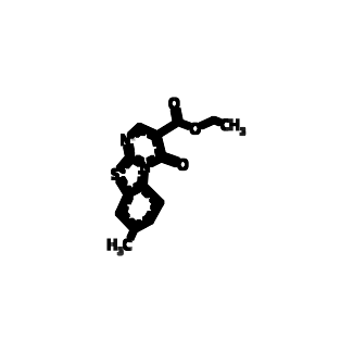 CCOC(=O)c1cnc2sc3cc(C)ccc3n2c1=O